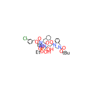 CCOP(=O)(OCC)C(O)C(O)(CCC(=O)N1CCN(C(=O)OC(C)(C)C)Cc2ccccc21)NC(=O)[C@H](CC1CCCCC1)NC(=O)OCc1cccc(Cl)c1